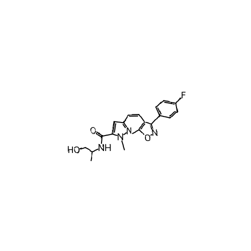 Cc1onc(-c2ccc(F)cc2)c1/C=C\c1cc(C(=O)NC(C)CO)n(C)n1